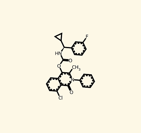 Cc1c(OC(=O)N[C@H](c2cccc(F)c2)C2CC2)c2cccc(Cl)c2c(=O)n1-c1ccccc1